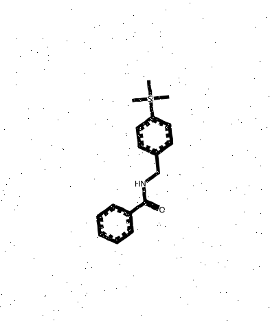 C[Si](C)(C)c1ccc(CNC(=O)c2ccccc2)cc1